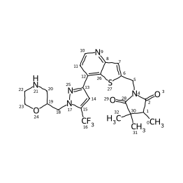 CC1C(=O)N(Cc2cc3nccc(-c4cc(C(F)(F)F)n(CC5CNCCO5)n4)c3s2)C(=O)C1(C)C